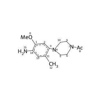 COc1cc(N2CCN(C(C)=O)CC2)c(C)cc1N